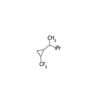 CC(C)C(C)C1CC1C(F)(F)F